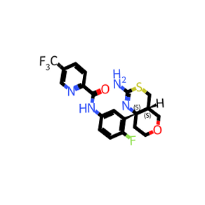 NC1=N[C@@]2(c3cc(NC(=O)c4ccc(C(F)(F)F)cn4)ccc3F)CCOC[C@H]2CS1